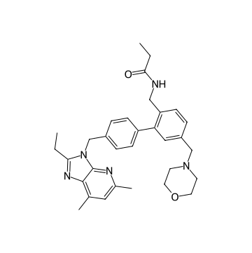 CCC(=O)NCc1ccc(CN2CCOCC2)cc1-c1ccc(Cn2c(CC)nc3c(C)cc(C)nc32)cc1